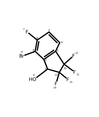 OC1c2c(ccc(F)c2Br)C(F)(F)C1(F)F